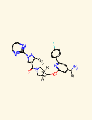 CCC(N)c1cc(OC2[C@H]3CN(C(=O)c4cn(-c5ncccn5)nc4C)C[C@@H]23)nc(-c2ccc(F)cc2)c1